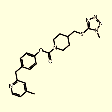 Cc1ccnc(Cc2ccc(OC(=O)N3CCC(CSc4nnnn4C)CC3)cc2)c1